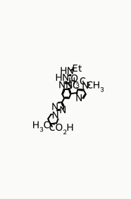 CCNC(=O)Nc1nc2cc(-c3cnc(N4CCC(C)(C(=O)O)CC4)nc3)cc(-c3nccc(N(C)C)c3C#N)c2s1